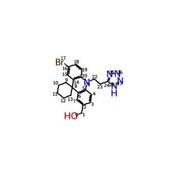 OCc1ccc2c(c1)C1(CCCCC1)c1cc(Br)ccc1N2CCc1nnn[nH]1